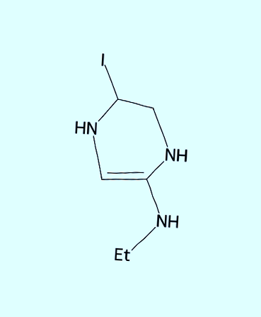 CCNC1=CNC(I)CN1